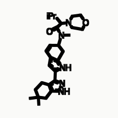 CC(C)C(C(=O)N(C)C1C=Cc2cc(-c3n[nH]c4c3CCC(C)(C)C4)[nH]c2C1)N1CCOCC1